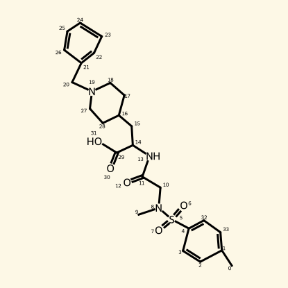 Cc1ccc(S(=O)(=O)N(C)CC(=O)NC(CC2CCN(Cc3ccccc3)CC2)C(=O)O)cc1